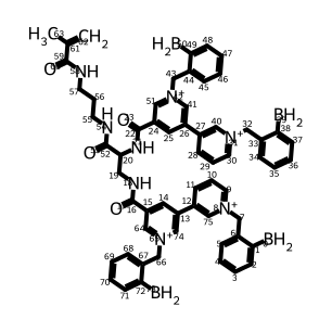 Bc1ccccc1C[n+]1cccc(-c2cc(C(=O)NCC(NC(=O)c3cc(-c4ccc[n+](Cc5ccccc5B)c4)c[n+](Cc4ccccc4B)c3)C(=O)NCCCNC(=O)C(=C)C)c[n+](Cc3ccccc3B)c2)c1